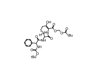 CC(C)(C)OC(=O)NC(C(=O)NC1C(=O)N2C(C(=O)OCOC(=O)C(C)(C)C)=C(O)CS[C@@H]12)c1ccccc1